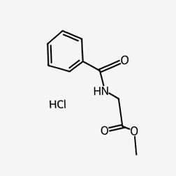 COC(=O)CNC(=O)c1ccccc1.Cl